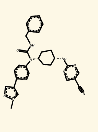 Cn1cc(-c2ccc(N(C(=O)NCc3ccccc3)[C@H]3CC[C@@H](Nc4ncc(C#N)cn4)CC3)cc2)cn1